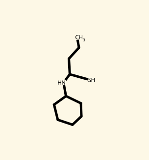 CCCC(S)NC1CCCCC1